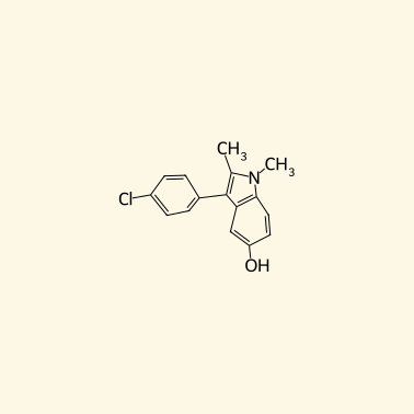 Cc1c(-c2ccc(Cl)cc2)c2cc(O)ccc2n1C